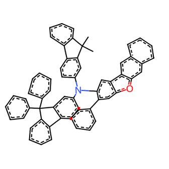 CC1(C)c2ccccc2-c2ccc(N(c3ccc4c(c3)C(c3ccccc3)(c3ccccc3)c3ccccc3-4)c3cc4c(cc3-c3ccccc3)oc3cc5ccccc5cc34)cc21